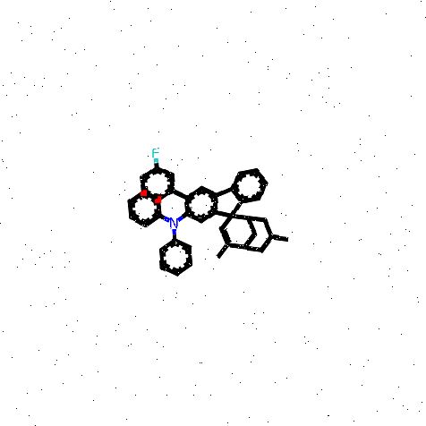 CC1=CC2(c3ccccc3-c3cc(-c4cccc(F)c4)c(N(c4ccccc4)c4ccccc4)cc32)C2CC(C)CC1C2